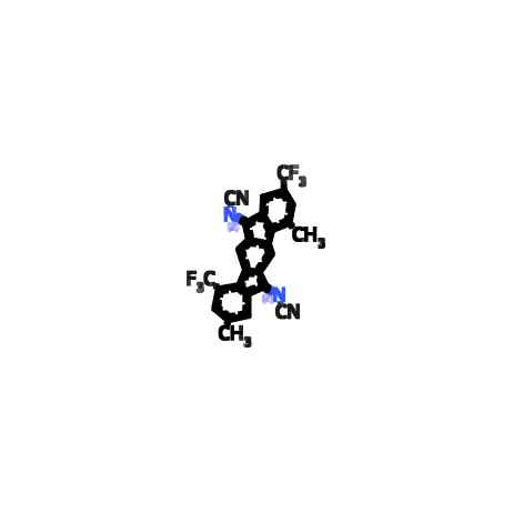 Cc1cc(C(F)(F)F)c2c(c1)/c(=N\C#N)c1cc3c(cc12)/c(=N/C#N)c1cc(C(F)(F)F)cc(C)c13